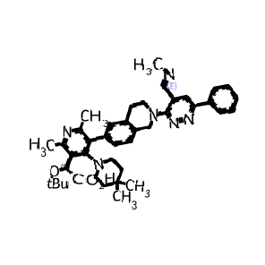 C/N=C/c1cc(-c2ccccc2)nnc1N1CCc2cc(-c3c(C)nc(C)c([C@H](OC(C)(C)C)C(=O)O)c3N3CCC(C)(C)CC3)ccc2C1